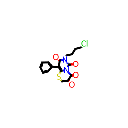 O=C1CSc2c(-c3ccccc3)c(=O)n(CCCCCl)c(=O)n2C1=O